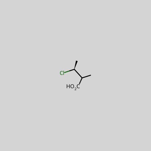 CC(C(=O)O)[C@H](C)Cl